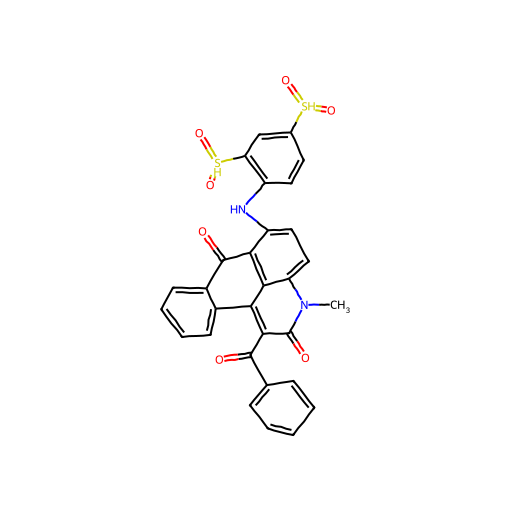 Cn1c(=O)c(C(=O)c2ccccc2)c2c3c(c(Nc4ccc([SH](=O)=O)cc4[SH](=O)=O)ccc31)C(=O)c1ccccc1-2